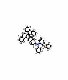 c1ccc(N(c2ccc3cc4c(cc3c2)C2(c3ccccc3-c3ccccc32)c2ccc3ccccc3c2-4)c2cccc3c2sc2ccccc23)cc1